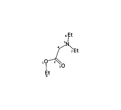 CCOC(=O)CN(CC)CC